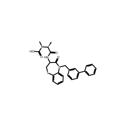 C[C@@H](C(=O)NC1CSc2ccccc2N(Cc2cccc(-c3ccccc3)c2)C1=O)N(C)C(=O)O